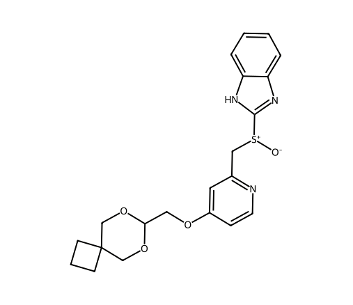 [O-][S+](Cc1cc(OCC2OCC3(CCC3)CO2)ccn1)c1nc2ccccc2[nH]1